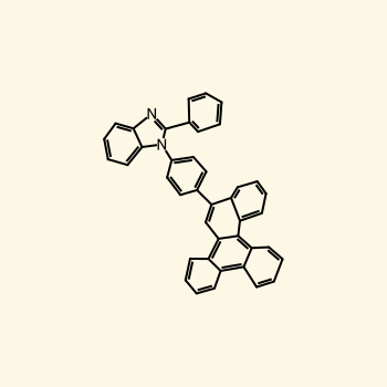 c1ccc(-c2nc3ccccc3n2-c2ccc(-c3cc4c5ccccc5c5ccccc5c4c4ccccc34)cc2)cc1